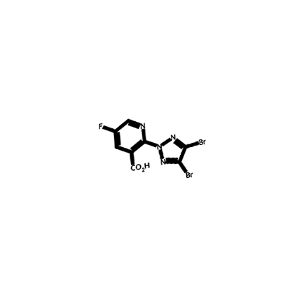 O=C(O)c1cc(F)cnc1-n1nc(Br)c(Br)n1